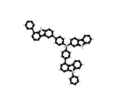 c1ccc(-c2cccc3c2oc2ccc(-c4ccc(N(c5ccc(-c6cccc7c6c6ccccc6n7-c6ccccc6)cc5)c5ccc6c(c5)oc5ccccc56)cc4)cc23)cc1